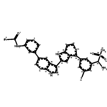 CC(C)C(=O)Nc1cncc(-c2cnc3[nH]nc(-c4cc5c(-c6cc(F)cc(C(N)S(C)(=O)=O)c6)nccc5[nH]4)c3c2)c1